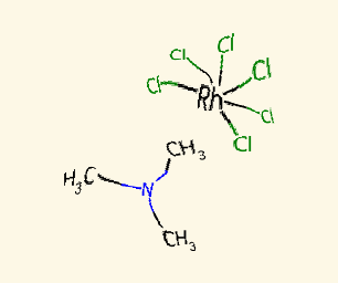 CN(C)C.[Cl][Rh]([Cl])([Cl])([Cl])([Cl])[Cl]